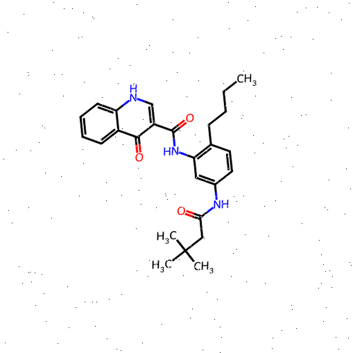 CCCCc1ccc(NC(=O)CC(C)(C)C)cc1NC(=O)c1c[nH]c2ccccc2c1=O